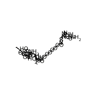 C=C/C=C/C=C(\C)[C@H](C[C@@H]1CCC[C@](O)(C(=O)C(=O)N2CCCC[C@H]2C(=O)O[C@@H](C[C@@H](O)[C@H](C)/C=C(\C)[C@@H](O)[C@@H](O)/C(=N/OC(C)(C)C(=O)NCCOCCOCCOCCOCCOCCOCCC(=O)N2CCc3cc(Cn4nc(-c5ccc6oc(N)nc6c5)c5c(N)ncnc54)ccc3C2)[C@H](C)CC(C)C)[C@H](N)C[C@@H]2CC[C@@H](O)[C@H](OC)C2)O1)OC